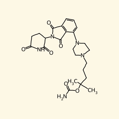 CC(C)(CCCN1CCN(c2cccc3c2C(=O)N(C2CCC(=O)NC2=O)C3=O)CC1)OC(N)=O